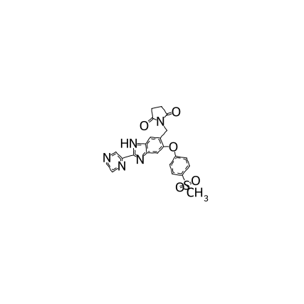 CS(=O)(=O)c1ccc(Oc2cc3nc(-c4cnccn4)[nH]c3cc2CN2C(=O)CCC2=O)cc1